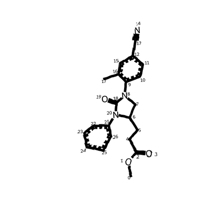 COC(=O)CCC1CN(c2ccc(C#N)cc2C)C(=O)N1c1ccccc1